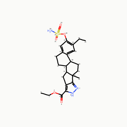 CCOC(=O)c1[nH]nc2c1CC1C3CCc4cc(OS(N)(=O)=O)c(CC)cc4C3CCC21C